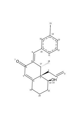 C=CC[C@@]12C(=CC(=O)/C(=C/c3cccc(I)c3)[C@@H]1C)CCC[C@@H]2O